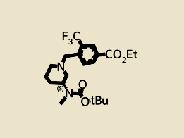 CCOC(=O)c1ccc(CN2CCC[C@H](N(C)C(=O)OC(C)(C)C)C2)c(C(F)(F)F)c1